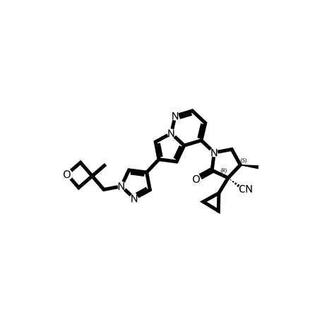 C[C@@H]1CN(c2ccnn3cc(-c4cnn(CC5(C)COC5)c4)cc23)C(=O)[C@]1(C#N)C1CC1